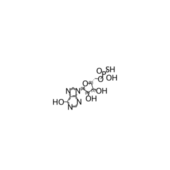 O=P(O)(S)OC[C@H]1O[C@@H](n2cnc3c(O)ncnc32)[C@H](O)[C@@H]1O